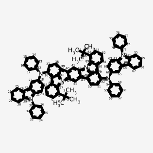 CC(C)(C)c1cccc2c3c(N(c4ccccc4)c4ccc5c(c4)c4ccccc4n5-c4ccccc4)ccc4c5cc6c(cc5n(c12)c43)c1ccc(N(c2ccccc2)c2ccc3c(c2)c2ccccc2n3-c2ccccc2)c2c3cccc(C(C)(C)C)c3n6c12